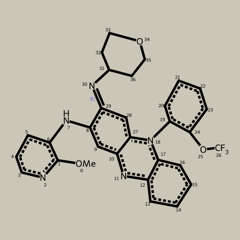 COc1ncccc1Nc1cc2nc3ccccc3n(-c3ccccc3OC(F)(F)F)c-2c/c1=N\C1CCOCC1